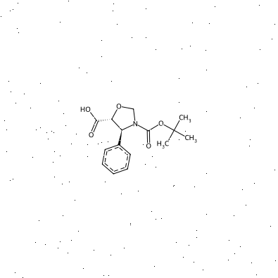 CC(C)(C)OC(=O)N1CO[C@@H](C(=O)O)[C@@H]1c1ccccc1